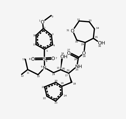 COc1ccc(S(=O)(=O)N(CC(C)C)C[C@@H](O)[C@H](Cc2ccccc2)NC(=O)OC2COCCCC2O)cc1